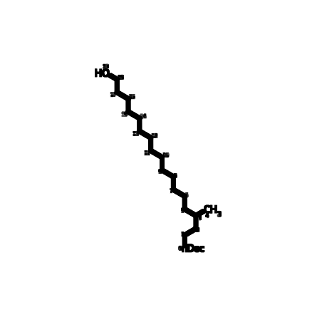 CCCCCCCCCCCCC(C)CCCCCCCCCCCCCCO